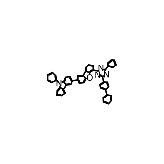 c1ccc(-c2ccc(-c3nc(-c4ccccc4)nc(-c4cccc5c4oc4ccc(-c6ccc7c(c6)c6ccccc6n7-c6ccccc6)cc45)n3)cc2)cc1